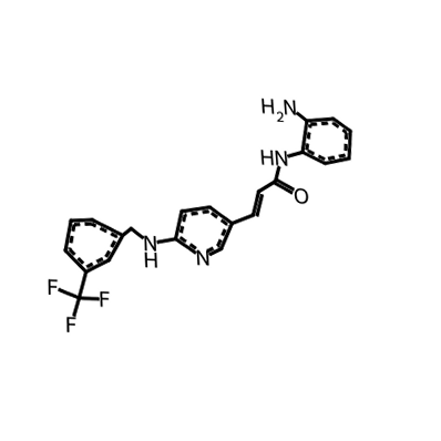 Nc1ccccc1NC(=O)C=Cc1ccc(NCc2cccc(C(F)(F)F)c2)nc1